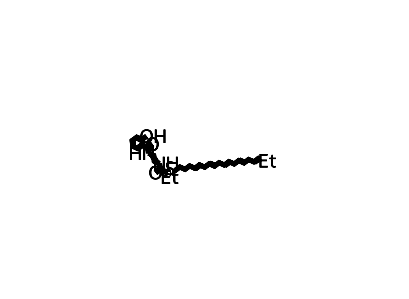 CCC=CCC=CCC=CCC=CCC=CCCCCS[C@@H](CC)C(=O)NCCNC(=O)c1ccccc1O